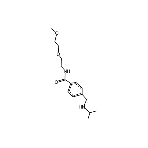 COCCOCCNC(=O)c1ccc(CNC(C)C)cc1